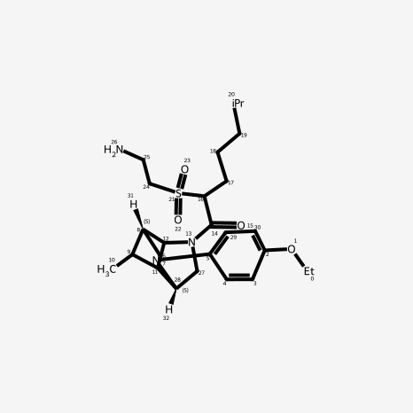 CCOc1ccc(N2C[C@@H]3C(C)C4C3N(C(=O)C(CCCC(C)C)S(=O)(=O)CCN)C[C@H]42)cc1